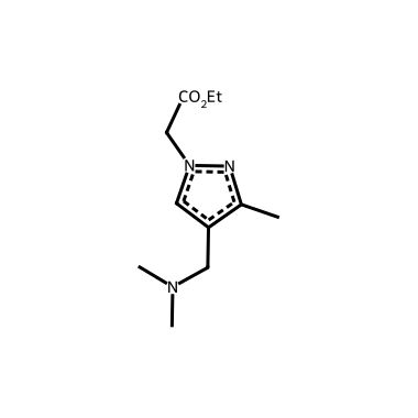 CCOC(=O)Cn1cc(CN(C)C)c(C)n1